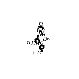 Cc1cc(CNc2ncc(Cl)cn2)cc(Oc2ccc(CN)cc2)n1.Cl